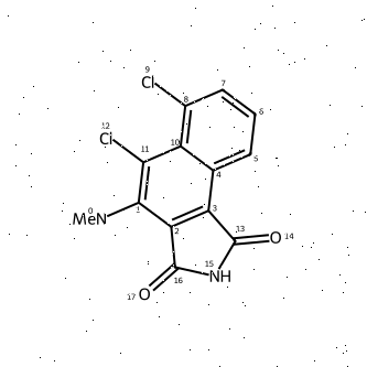 CNc1c2c(c3cccc(Cl)c3c1Cl)C(=O)NC2=O